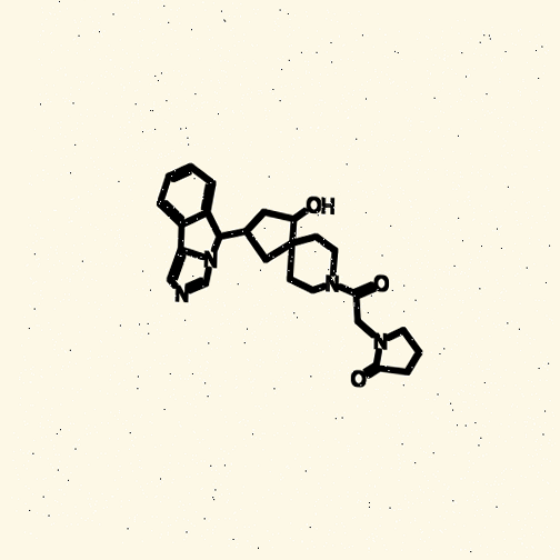 O=C(CN1CCCC1=O)N1CCC2(CC1)CC(C1c3ccccc3-c3cncn31)CC2O